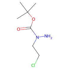 CC(C)(C)OC(=O)N(N)CCCl